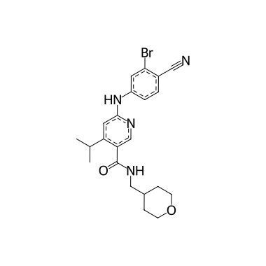 CC(C)c1cc(Nc2ccc(C#N)c(Br)c2)ncc1C(=O)NCC1CCOCC1